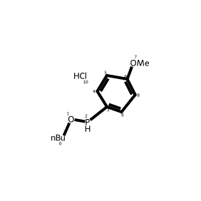 CCCCOPc1ccc(OC)cc1.Cl